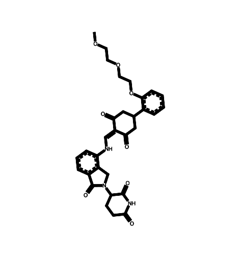 COCCOCCOc1ccccc1C1CC(=O)C(=CNc2cccc3c2CN(C2CCC(=O)NC2=O)C3=O)C(=O)C1